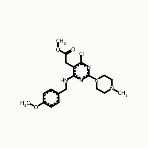 COC(=O)Cc1c(Cl)nc(N2CCN(C)CC2)nc1NCc1ccc(OC)cc1